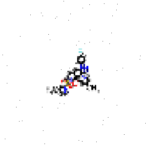 Cc1ccnc(C(=O)C23Cc4cnn(-c5ccc(F)cc5)c4C=C2CCN(S(=O)(=O)c2cc(C(F)(F)F)ccn2)C3)c1